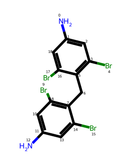 Nc1cc(Br)c(Cc2c(Br)cc(N)cc2Br)c(Br)c1